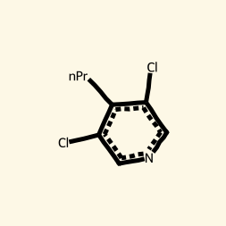 CCCc1c(Cl)cncc1Cl